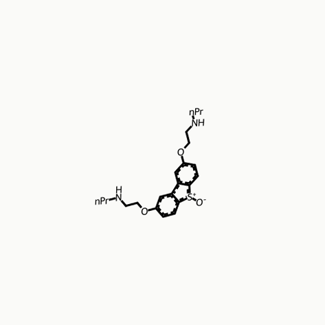 CCCNCCOc1ccc2c(c1)c1cc(OCCNCCC)ccc1[s+]2[O-]